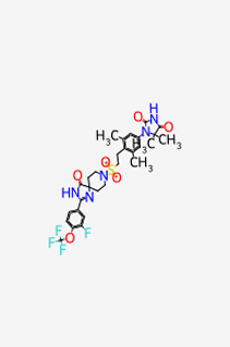 Cc1cc(N2C(=O)NC(=O)C2(C)C)cc(C)c1CCS(=O)(=O)N1CCC2(CC1)N=C(c1ccc(OC(F)(F)F)c(F)c1)NC2=O